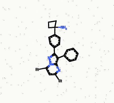 CCc1cc(CC)n2nc(-c3ccc(C4(N)CCC4)cc3)c(-c3ccccc3)c2n1